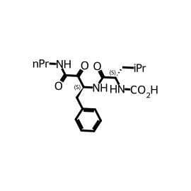 CCCNC(=O)C(=O)[C@H](Cc1ccccc1)NC(=O)[C@H](CC(C)C)NC(=O)O